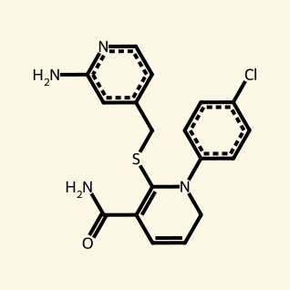 NC(=O)C1=C(SCc2ccnc(N)c2)N(c2ccc(Cl)cc2)CC=C1